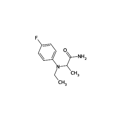 CCN(c1ccc(F)cc1)C(C)C(N)=O